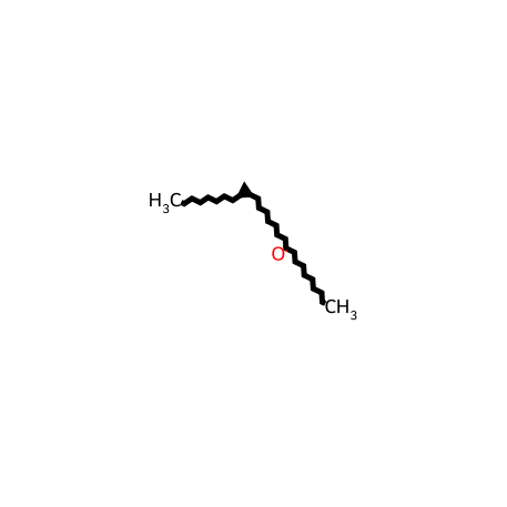 CCCCCCCCCC(=O)CCCCCCCC1CC1CCCCCCCC